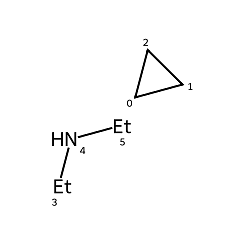 C1CC1.CCNCC